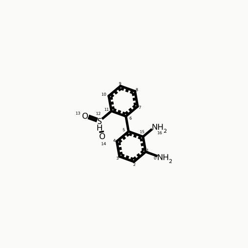 Nc1cccc(-c2ccccc2[SH](=O)=O)c1N